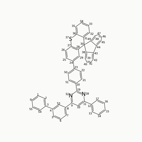 c1ccc(-c2cccc(-c3cc(-c4ccccc4)nc(-c4ccc(-c5ccc6c(c5)C5(c7ccccc7S6)c6ccccc6-c6ccccc65)cc4)n3)c2)cc1